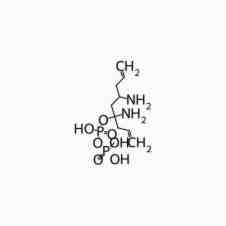 C=CCC(N)CC(N)(CC=C)OP(=O)(O)OP(=O)(O)O